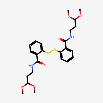 COC(CCNC(=O)c1ccccc1SSc1ccccc1C(=O)NCCC(OC)OC)OC